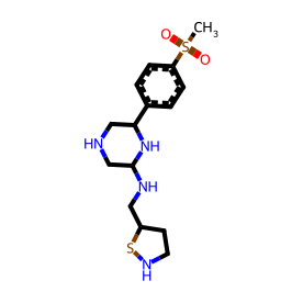 CS(=O)(=O)c1ccc(C2CNCC(NCC3CCNS3)N2)cc1